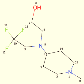 CN1CCC(N(CCO)CC(F)(F)F)CC1